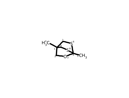 CC12COC(C)(SC1)SC2